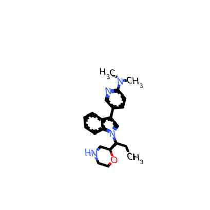 CCC(C1CNCCO1)n1cc(-c2ccc(N(C)C)nc2)c2ccccc21